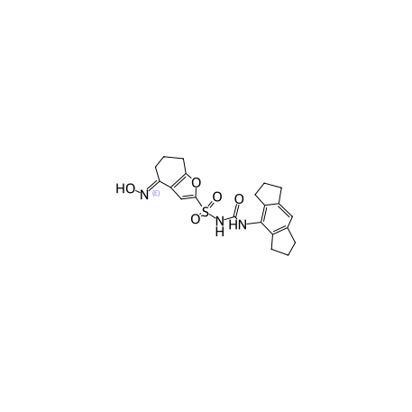 O=C(Nc1c2c(cc3c1CCC3)CCC2)NS(=O)(=O)c1cc2c(o1)CCC/C2=N\O